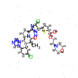 C[C@H]1C(=O)N2C(=CC1c1cc(Cl)ccc1-n1cnnn1)CC[C@H]2c1nc(Cl)c(-c2ccc(C(=O)OCCN3CCOCC3)s2)[nH]1